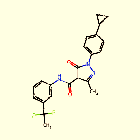 CC1=NN(c2ccc(C3CC3)cc2)C(=O)C1C(=O)Nc1cccc(C(C)(F)F)c1